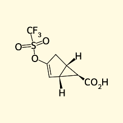 O=C(O)[C@H]1[C@@H]2C=C(OS(=O)(=O)C(F)(F)F)C[C@@H]21